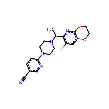 CC(c1nc2c(cc1F)OCCO2)N1CCN(c2ccc(C#N)cn2)CC1